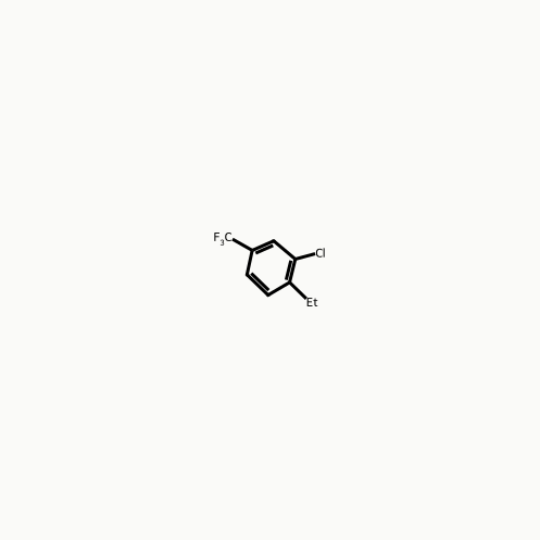 CCc1ccc(C(F)(F)F)cc1Cl